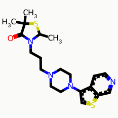 CC1SC(C)(C)C(=O)N1CCCN1CCN(c2csc3cnccc23)CC1